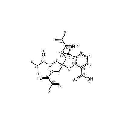 C=C(C)C(=O)OCC(COC(=O)C(=C)C)(COC(=O)C(=C)C)Cc1c(C(=O)O)cccc1C(=O)O